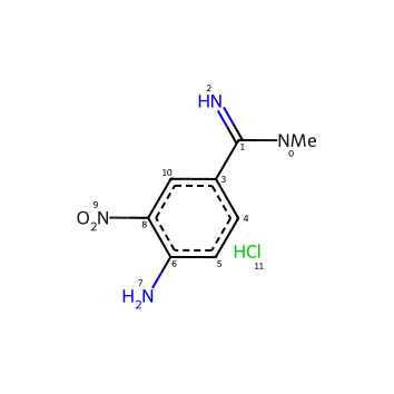 CNC(=N)c1ccc(N)c([N+](=O)[O-])c1.Cl